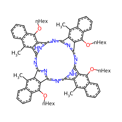 CCCCCCOc1c2c(c(C)c3ccccc13)-c1nc-2nc2[nH]c(nc3nc(nc4[nH]c(n1)c1c(C)c5ccccc5c(OCCCCCC)c41)-c1c-3c(OCCCCCC)c3ccccc3c1C)c1c(OCCCCCC)c3ccccc3c(C)c21